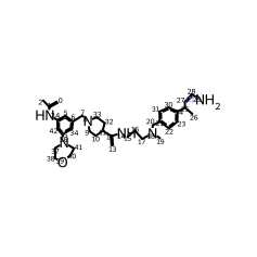 C=C(C)Nc1cc(CN2CCC(C(=C)NCCCN(C)Cc3ccc(C(C)/C=C\N)cc3)CC2)cc(N2CCOCC2)c1